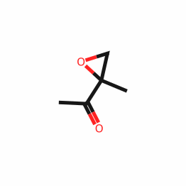 CC(=O)C1(C)CO1